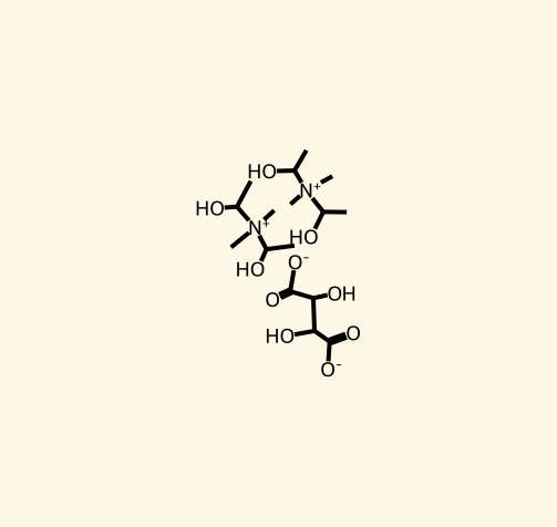 CC(O)[N+](C)(C)C(C)O.CC(O)[N+](C)(C)C(C)O.O=C([O-])C(O)C(O)C(=O)[O-]